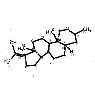 C/C(O)=C1\CCC2C3CC[C@H]4CC(C)CCC4(C)C3CCC12C